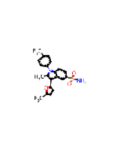 Cc1c(-c2ccc(C(F)(F)F)o2)c2cc(S(N)(=O)=O)ccc2n1-c1ccc(C(F)(F)F)cc1